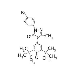 CC1=NN(c2ccc(Br)cc2)C(=O)C1=C1C=C(C(C)(C)C)C(=O)C(C(C)(C)C)=C1